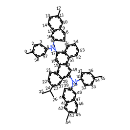 Cc1ccc(N(c2ccc3cc(C)ccc3c2)c2cc3c4ccc(C(C)C)cc4c(N(c4ccc(C)cc4)c4ccc5cc(C)ccc5c4)cc3c3ccccc23)cc1